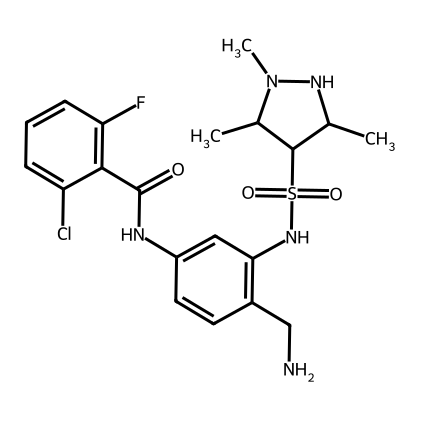 CC1NN(C)C(C)C1S(=O)(=O)Nc1cc(NC(=O)c2c(F)cccc2Cl)ccc1CN